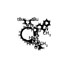 Cc1nc2ccccc2c2c1O[C@]1(CC2)C[C@H]2C(=O)N[C@]3(C(=O)NS(=O)(=O)C4(C)CC4)C[C@H]3C=CCCCCC[C@H](N(CCC(C)(C)C)CCC(C)(C)C)C(=O)N2C1